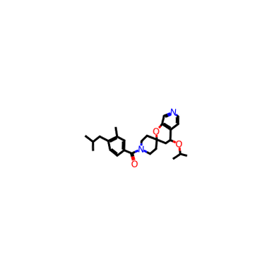 Cc1cc(C(=O)N2CCC3(CC2)CC(OC(C)C)c2ccncc2O3)ccc1CC(C)C